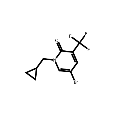 O=c1c(C(F)(F)F)cc(Br)cn1CC1CC1